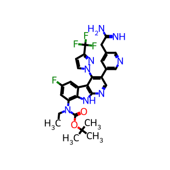 CCN(C(=O)OC(C)(C)C)c1cc(F)cc2c1[nH]c1ncc(-c3cncc(CC(=N)N)c3)c(-n3ccc(C(F)(F)F)n3)c12